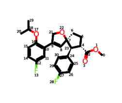 COC(=O)[C@H]1CC[C@@]2(C=C(c3cc(F)ccc3OC(C)C)CO2)[C@@H]1c1ccc(F)cc1